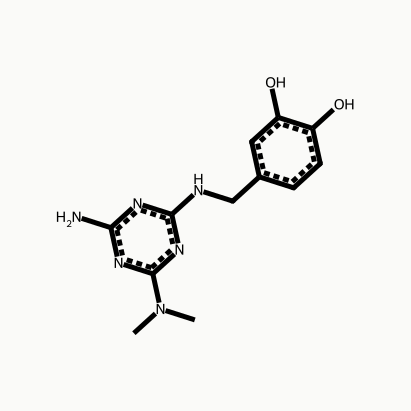 CN(C)c1nc(N)nc(NCc2ccc(O)c(O)c2)n1